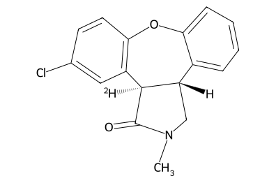 [2H][C@@]12C(=O)N(C)C[C@H]1c1ccccc1Oc1ccc(Cl)cc12